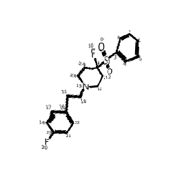 O=S(=O)(c1ccccc1)C1(F)CCN(CCc2ccc(F)cc2)CC1